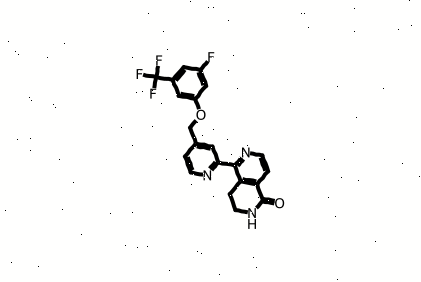 O=C1NCCc2c1ccnc2-c1cc(COc2cc(F)cc(C(F)(F)F)c2)ccn1